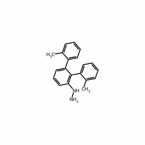 Cc1ccccc1-c1cccc(NN)c1-c1ccccc1C